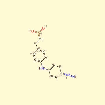 [N-]=[N+]=C1C=CC(Nc2ccc(CC=S(=O)=O)cc2)=CC1